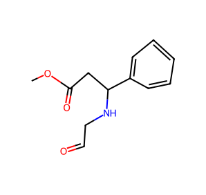 COC(=O)CC(NCC=O)c1ccccc1